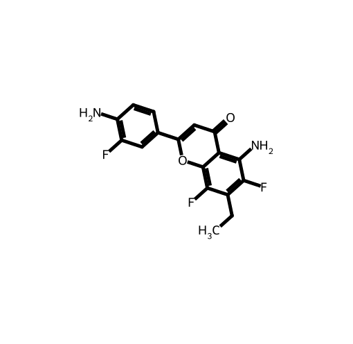 CCc1c(F)c(N)c2c(=O)cc(-c3ccc(N)c(F)c3)oc2c1F